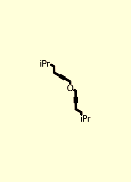 CC(C)CCC#CCOCC#CCCC(C)C